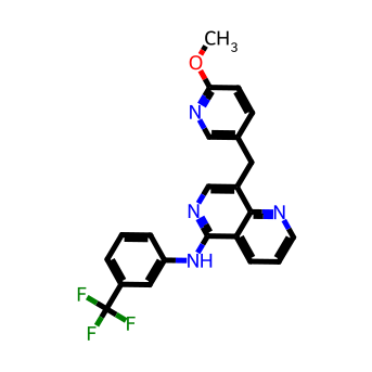 COc1ccc(Cc2cnc(Nc3cccc(C(F)(F)F)c3)c3cccnc23)cn1